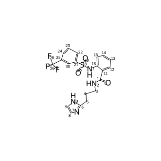 O=C(NCCCc1ncc[nH]1)c1ccccc1NS(=O)(=O)c1cccc(C(F)(F)F)c1